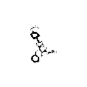 CC(C)(C)OC(=O)N[C@H](CC1CCCCC1)c1nc(-c2ccc(OC(F)(F)F)cc2)no1